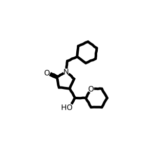 O=C1CC(C(O)C2CCCCO2)CN1CC1CCCCC1